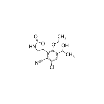 CCOc1c(C(C)O)cc(Cl)c(C#N)c1C1CNC(=O)O1